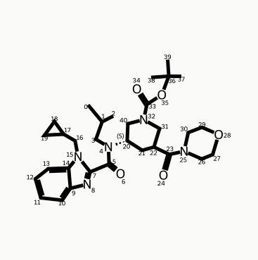 CC(C)CN(C(=O)c1nc2ccccc2n1CC1CC1)[C@H]1CC(C(=O)N2CCOCC2)CN(C(=O)OC(C)(C)C)C1